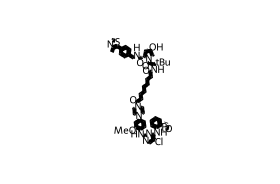 COc1cc(N2CCN(C(=O)CCCCCCCC(=O)NC(C(=O)N3C[C@H](O)C[C@H]3C(=O)NCc3ccc(-c4scnc4C)cc3)C(C)(C)C)CC2)ccc1Nc1ncc(Cl)c(Nc2ccccc2P(C)(C)=O)n1